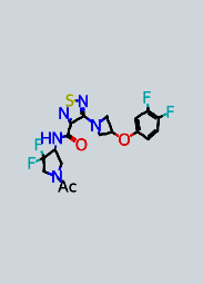 CC(=O)N1C[C@@H](NC(=O)c2nsnc2N2CC(Oc3ccc(F)c(F)c3)C2)C(F)(F)C1